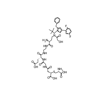 CC(C)(C)[C@H](c1cc(-c2cc(F)ccc2F)cn1Cc1ccccc1)N(CC[C@H](N)C(=O)NCCNC(=O)[C@@H](CCC(=O)O)NC(=O)CNC(=O)C[C@@H](SC[C@H](N)C(=O)O)C(=O)O)C(=O)CO